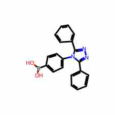 OB(O)c1ccc(-n2c(-c3ccccc3)nnc2-c2ccccc2)cc1